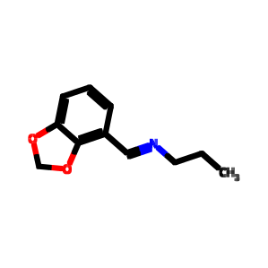 CCCN=Cc1cccc2c1OCO2